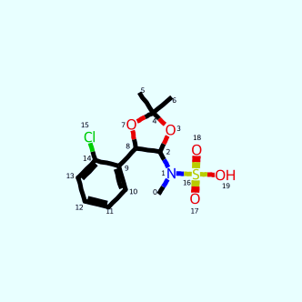 CN(C1OC(C)(C)OC1c1ccccc1Cl)S(=O)(=O)O